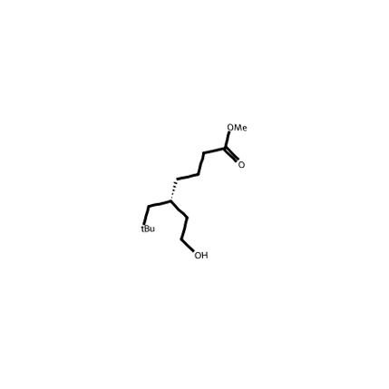 COC(=O)CCC[C@H](CCO)CC(C)(C)C